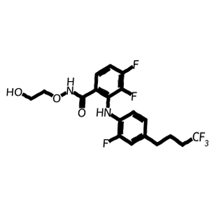 O=C(NOCCO)c1ccc(F)c(F)c1Nc1ccc(CCCC(F)(F)F)cc1F